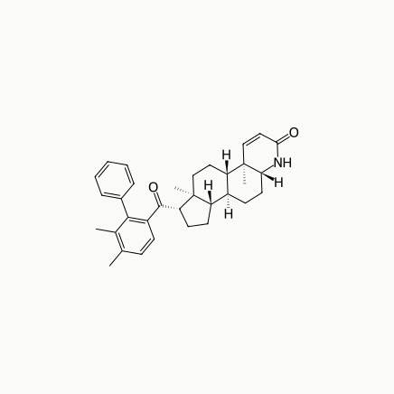 Cc1ccc(C(=O)[C@H]2CC[C@H]3[C@@H]4CC[C@H]5NC(=O)C=C[C@]5(C)[C@H]4CC[C@]23C)c(-c2ccccc2)c1C